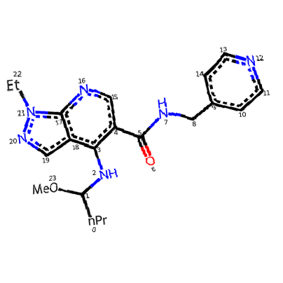 CCCC(Nc1c(C(=O)NCc2ccncc2)cnc2c1cnn2CC)OC